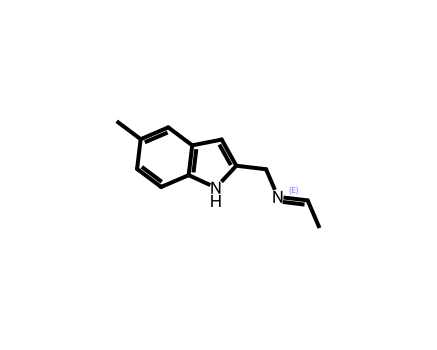 C/C=N/Cc1cc2cc(C)ccc2[nH]1